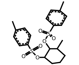 Cc1ccc(S(=O)(=O)OC2CCCC(C)C2OS(=O)(=O)c2ccc(C)cc2)cc1